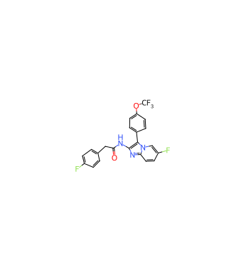 O=C(Cc1ccc(F)cc1)Nc1nc2ccc(F)cn2c1-c1ccc(OC(F)(F)F)cc1